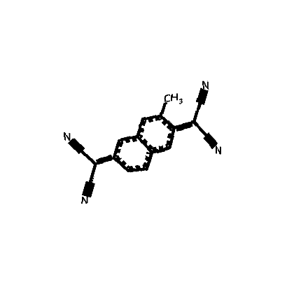 Cc1cc2cc(=C(C#N)C#N)ccc2cc1=C(C#N)C#N